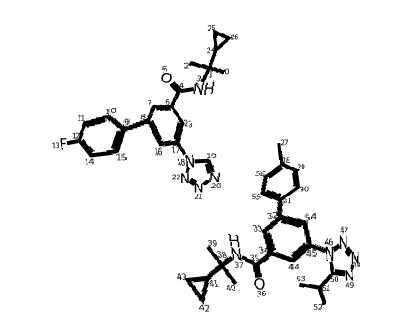 CC(C)(NC(=O)c1cc(-c2ccc(F)cc2)cc(-n2cnnn2)c1)C1CC1.Cc1ccc(-c2cc(C(=O)NC(C)(C)C3CC3)cc(-n3nnnc3C(C)C)c2)cc1